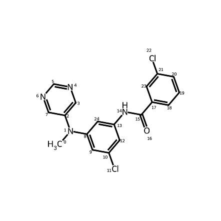 CN(c1cncnc1)c1cc(Cl)cc(NC(=O)c2cccc(Cl)c2)c1